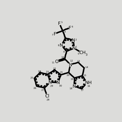 Cn1nc(C(F)(F)F)nc1C(=O)N1CCc2[nH]cnc2C1c1cc2cccc(Cl)n2n1